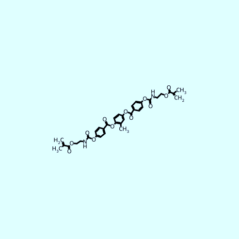 C=C(C)C(=O)OCCNC(=O)Oc1ccc(C(=O)Oc2ccc(OC(=O)c3ccc(OC(=O)NCCOC(=O)C(=C)C)cc3)c(C)c2)cc1